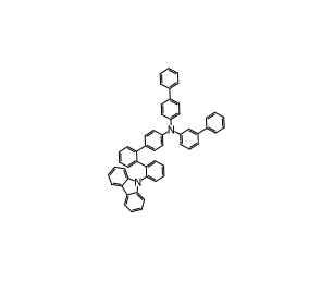 c1ccc(-c2ccc(N(c3ccc(-c4ccccc4-c4ccccc4-n4c5ccccc5c5ccccc54)cc3)c3cccc(-c4ccccc4)c3)cc2)cc1